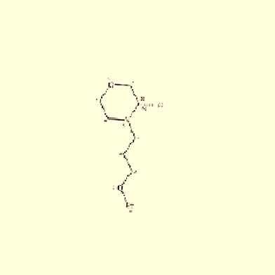 CCOCCCN1CCOC[C@@H]1C